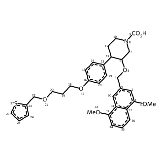 COc1cc(COC2CN(C(=O)O)CCC2c2ccc(OCCCOCc3cccs3)cc2)cc2c(OC)cccc12